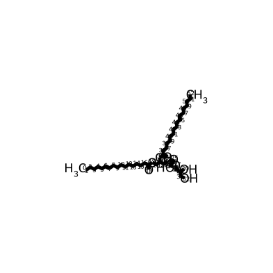 CCCCCC/C=C/CCCCCCCCCC(=O)OCC(COP(=O)(O)OCC(O)CO)OC(=O)CCCCCCCCC/C=C/CCCCCC